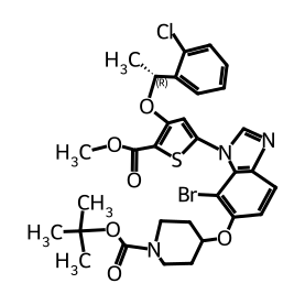 COC(=O)c1sc(-n2cnc3ccc(OC4CCN(C(=O)OC(C)(C)C)CC4)c(Br)c32)cc1O[C@H](C)c1ccccc1Cl